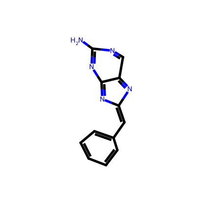 Nc1ncc2c(n1)=NC(=Cc1ccccc1)N=2